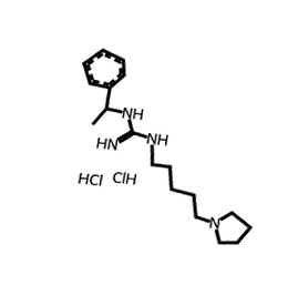 CC(NC(=N)NCCCCCN1CCCC1)c1ccccc1.Cl.Cl